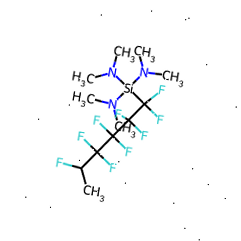 CC(F)C(F)(F)C(F)(F)C(F)(F)C(F)(F)[Si](N(C)C)(N(C)C)N(C)C